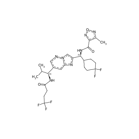 Cc1nonc1C(=O)N[C@H](c1cn2ncc([C@@H](NC(=O)CCC(F)(F)F)C(C)C)cc2n1)C1CCC(F)(F)CC1